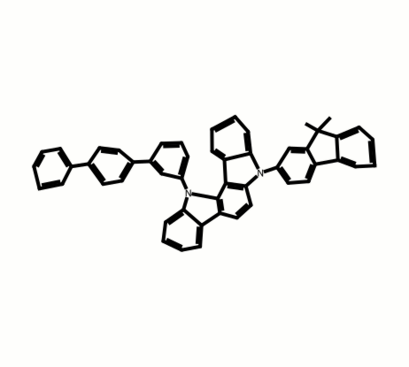 CC1(C)c2ccccc2-c2ccc(-n3c4ccccc4c4c3ccc3c5ccccc5n(-c5cccc(-c6ccc(-c7ccccc7)cc6)c5)c34)cc21